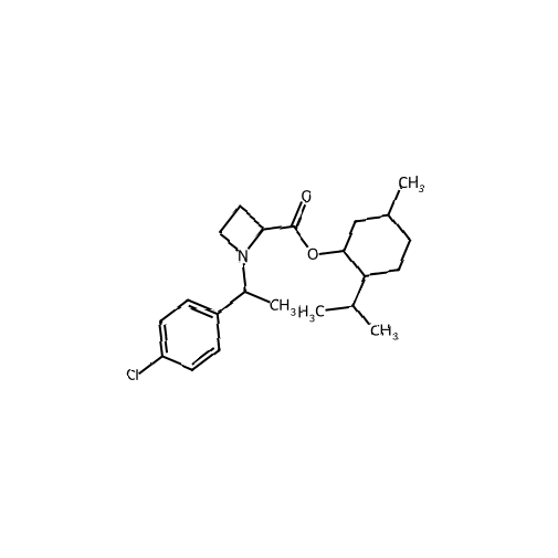 CC1CCC(C(C)C)C(OC(=O)C2CCN2C(C)c2ccc(Cl)cc2)C1